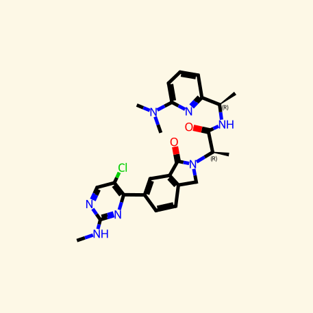 CNc1ncc(Cl)c(-c2ccc3c(c2)C(=O)N([C@H](C)C(=O)N[C@H](C)c2cccc(N(C)C)n2)C3)n1